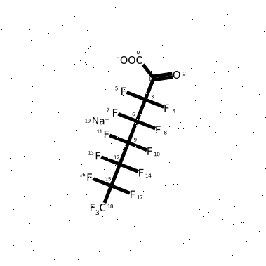 O=C([O-])C(=O)C(F)(F)C(F)(F)C(F)(F)C(F)(F)C(F)(F)C(F)(F)F.[Na+]